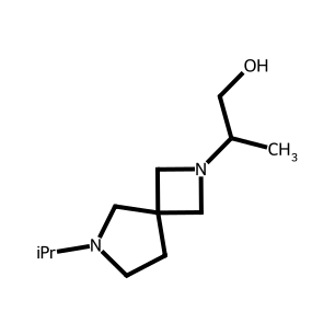 CC(C)N1CCC2(C1)CN(C(C)CO)C2